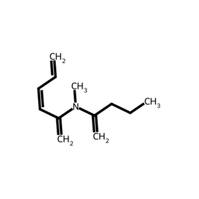 C=C/C=C\C(=C)N(C)C(=C)CCC